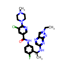 CCn1cc2ncc(N[C@@H](C)c3cc(NC(=O)c4cnc(N5CCN(C)CC5)c(Cl)c4)ccc3F)nc2n1